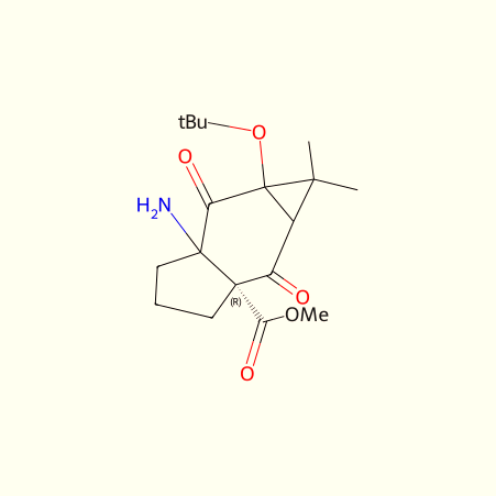 COC(=O)[C@]12CCCC1(N)C(=O)C1(OC(C)(C)C)C(C2=O)C1(C)C